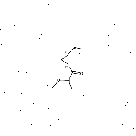 CC[C@@H]1C[C@H]1C(=O)N(C)OC